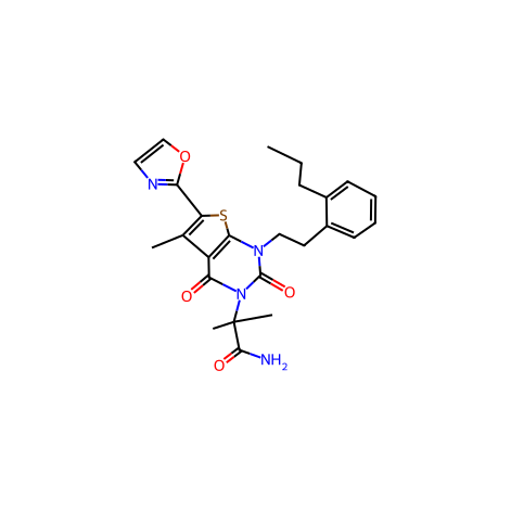 CCCc1ccccc1CCn1c(=O)n(C(C)(C)C(N)=O)c(=O)c2c(C)c(-c3ncco3)sc21